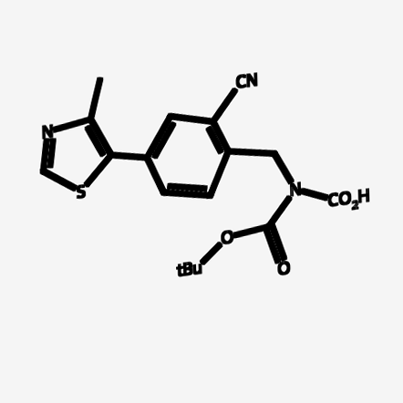 Cc1ncsc1-c1ccc(CN(C(=O)O)C(=O)OC(C)(C)C)c(C#N)c1